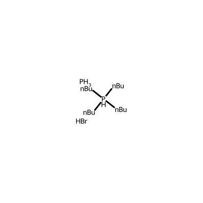 Br.CCCC[PH](CCCC)(CCCC)CCCC.P